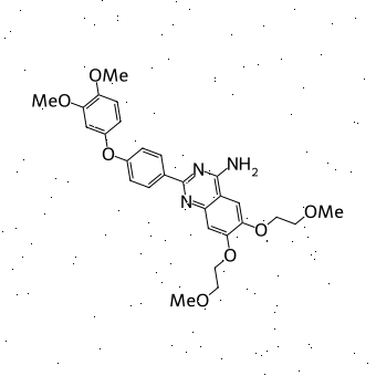 COCCOc1cc2nc(-c3ccc(Oc4ccc(OC)c(OC)c4)cc3)nc(N)c2cc1OCCOC